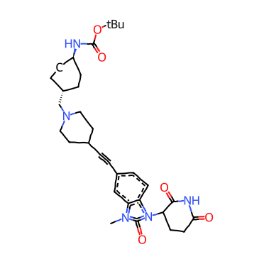 Cn1c(=O)n(C2CCC(=O)NC2=O)c2ccc(C#CC3CCN(C[C@H]4CC[C@H](NC(=O)OC(C)(C)C)CC4)CC3)cc21